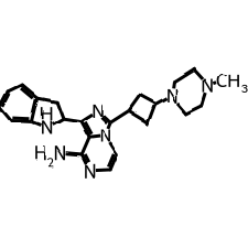 CN1CCN(C2CC(c3nc(C4Cc5ccccc5N4)c4c(N)nccn34)C2)CC1